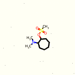 CN(C)C1CCCCCC1OS(C)(=O)=O